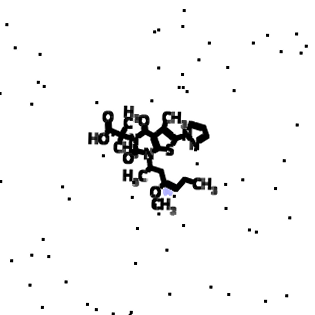 CC/C=C(\CC(C)n1c(=O)n(C(C)(C)C(=O)O)c(=O)c2c(C)c(-n3cccn3)sc21)OC